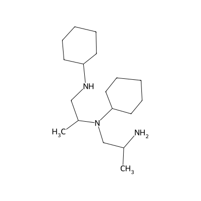 CC(N)CN(C(C)CNC1CCCCC1)C1CCCCC1